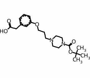 CC(C)(C)OC(=O)N1CCN(CCCOc2cccc(CC(=O)O)c2)CC1